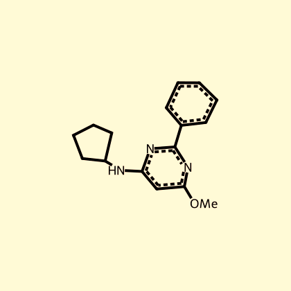 COc1cc(NC2CCCC2)nc(-c2ccccc2)n1